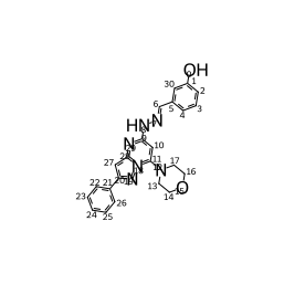 Oc1cccc(C=NNc2cc(N3CCOCC3)n3nc(-c4ccccc4)cc3n2)c1